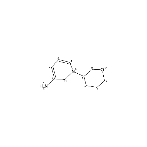 NC1=CC=CN(C2CCCOC2)C1